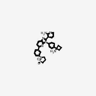 Nc1ncccc1-c1nc2ccc(-c3cccc(N4CCCS4(=O)=O)c3)nc2n1-c1ccc(C2(N)CCC2)cc1